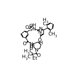 CCC(C)(C)C(=O)N1CC[C@H]2Oc3cc(-c4c(C)cccc4C)nc(n3)NS(=O)(=O)c3cccc(c3)C(=O)N[C@@H]2C1